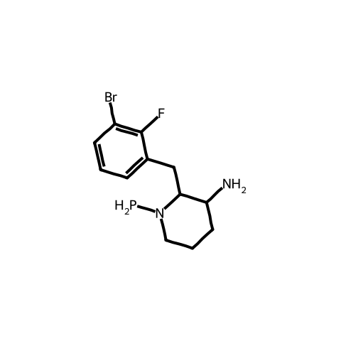 NC1CCCN(P)C1Cc1cccc(Br)c1F